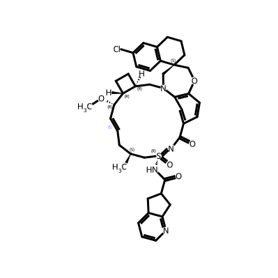 CO[C@H]1/C=C/C[C@H](C)C[S@@](=O)(NC(=O)C2Cc3cccnc3C2)=NC(=O)c2ccc3c(c2)N(C[C@@H]2CC[C@H]21)C[C@@]1(CCCc2cc(Cl)ccc21)CO3